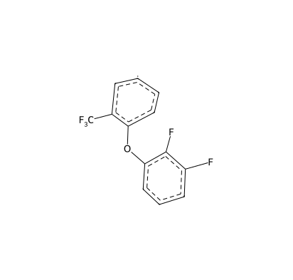 Fc1cccc(Oc2cc[c]cc2C(F)(F)F)c1F